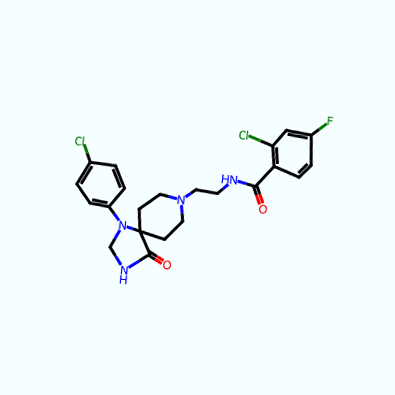 O=C(NCCN1CCC2(CC1)C(=O)NCN2c1ccc(Cl)cc1)c1ccc(F)cc1Cl